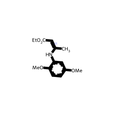 CCOC(=O)/C=C(/C)Nc1cc(OC)ccc1OC